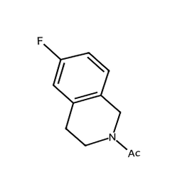 CC(=O)N1CCc2cc(F)ccc2C1